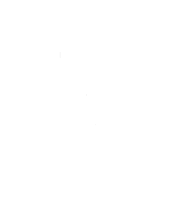 CCCCCCC(C(=O)CC)C(=O)OOC(=O)C(CCCCCC)C(=O)CC